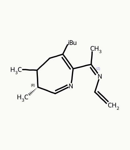 C=C/N=C(/C)C1=C(C(C)CC)CC(C)[C@@H](C)C=N1